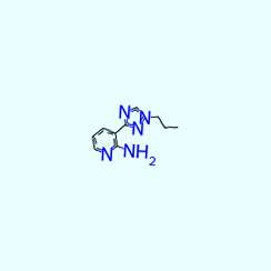 CCCn1cnc(-c2cccnc2N)n1